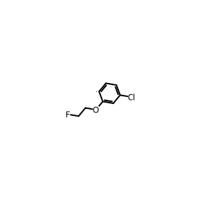 FCCOc1[c]ccc(Cl)c1